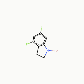 Fc1cc(F)c2c(c1)N(Br)CC2